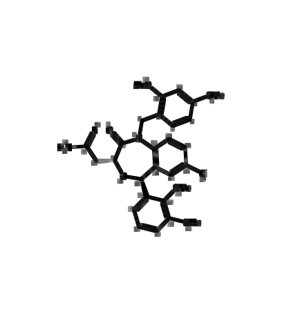 COc1ccc(CN2C(=O)[C@@H](CC(N)=S)O[C@H](c3cccc(OC)c3OC)c3cc(Cl)ccc32)c(OC)c1